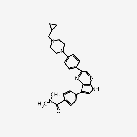 CN(C)C(=O)c1ccc(-c2c[nH]c3ncc(-c4ccc(N5CCN(CC6CC6)CC5)cc4)nc23)cc1